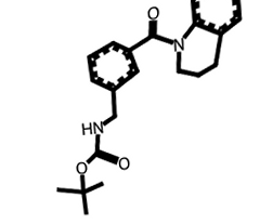 CC(C)(C)OC(=O)NCc1cccc(C(=O)N2CCCc3ccccc32)c1